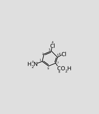 Nc1cc(Cl)c(Cl)c(C(=O)O)c1